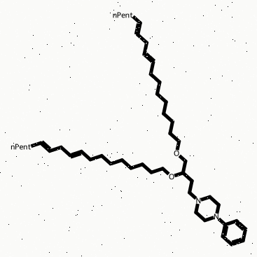 CCCCCC=CCC=CCCCCCCCCOCC(CCN1CCN(c2ccccc2)CC1)OCCCCCCCCC=CCC=CCCCCC